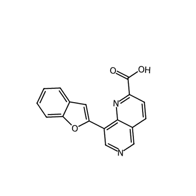 O=C(O)c1ccc2cncc(-c3cc4ccccc4o3)c2n1